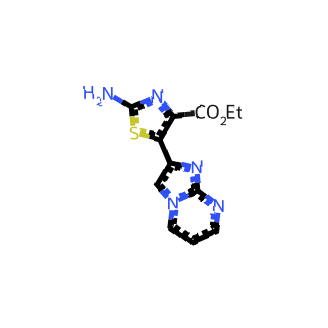 CCOC(=O)c1nc(N)sc1-c1cn2cccnc2n1